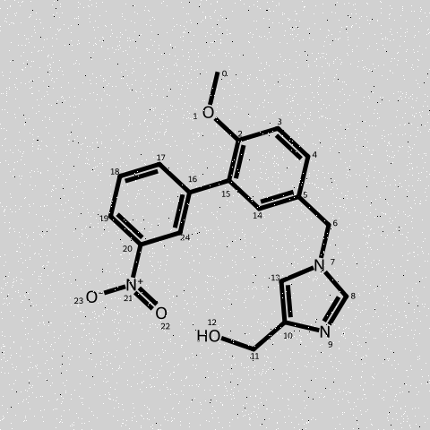 COc1ccc(Cn2cnc(CO)c2)cc1-c1cccc([N+](=O)[O-])c1